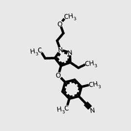 CCc1nn(CCOC)c(CC)c1Oc1cc(C)c(C#N)c(C)c1